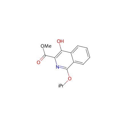 COC(=O)c1nc(OC(C)C)c2ccccc2c1O